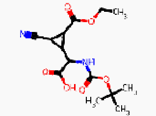 CCOC(=O)C1C(C#N)C1C(NC(=O)OC(C)(C)C)C(=O)O